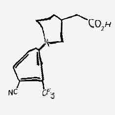 N#Cc1ccc(N2CCC(CC(=O)O)C2)cc1C(F)(F)F